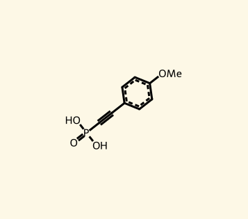 COc1ccc(C#CP(=O)(O)O)cc1